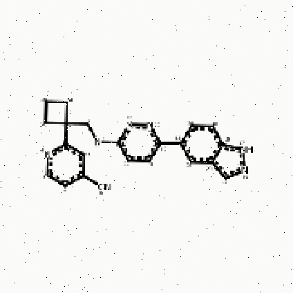 N#Cc1ccnc(C2(CNc3ccc(-c4ccc5[nH]ncc5c4)nn3)CCC2)c1